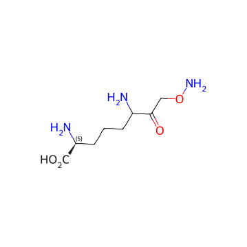 NOCC(=O)C(N)CCC[C@H](N)C(=O)O